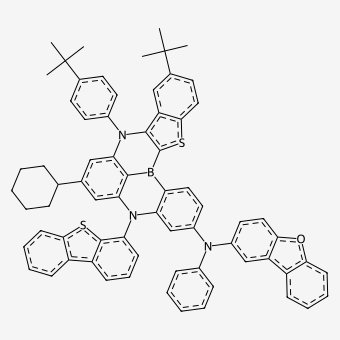 CC(C)(C)c1ccc(N2c3cc(C4CCCCC4)cc4c3B(c3ccc(N(c5ccccc5)c5ccc6oc7ccccc7c6c5)cc3N4c3cccc4c3sc3ccccc34)c3sc4ccc(C(C)(C)C)cc4c32)cc1